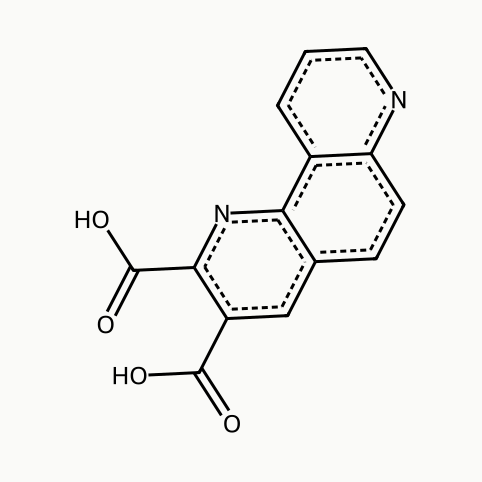 O=C(O)c1cc2ccc3ncccc3c2nc1C(=O)O